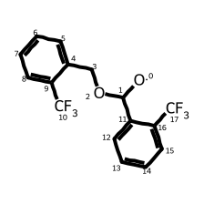 [O]C(OCc1ccccc1C(F)(F)F)c1ccccc1C(F)(F)F